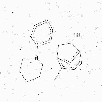 Cc1ccc2cc1CC2.N.c1ccc(N2CCCCC2)cc1